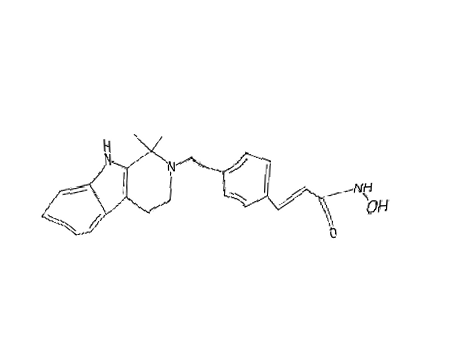 CC1(C)c2[nH]c3ccccc3c2CCN1Cc1ccc(/C=C/C(=O)NO)cc1